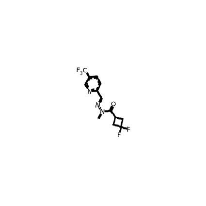 CN(/N=C/c1ccc(C(F)(F)F)cn1)C(=O)C1CC(F)(F)C1